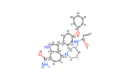 C=CC(=O)N[C@@H]1CCCN(c2ccc(C(N)=O)c3[nH]cc(-c4ccc(Oc5ccccc5)cc4)c23)C1